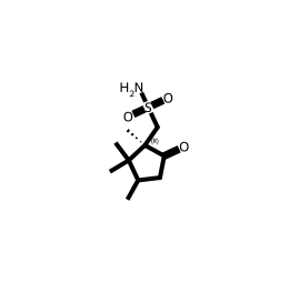 CC1CC(=O)[C@](C)(CS(N)(=O)=O)C1(C)C